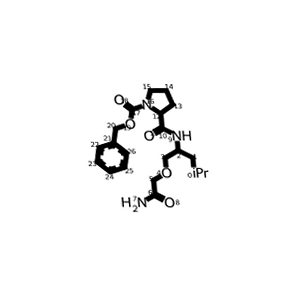 CC(C)CC(COCC(N)=O)NC(=O)C1CCCN1C(=O)OCc1ccccc1